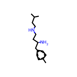 Cc1ccc(C[C@H](N)CCNCCC(C)C)cc1